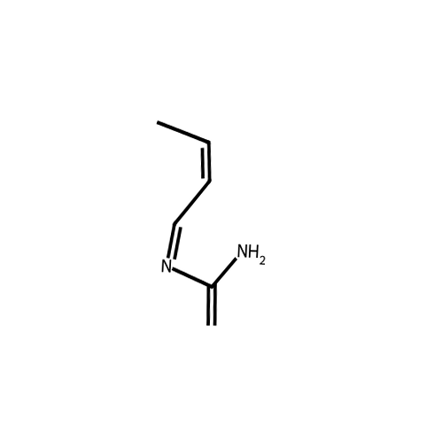 C=C(N)/N=C\C=C/C